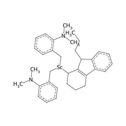 CCCC1C2=C(CCC[CH]2[Sc]([CH2]c2ccccc2N(C)C)[CH2]c2ccccc2N(C)C)c2ccccc21